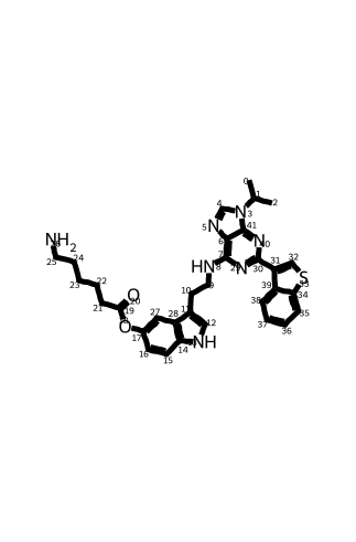 CC(C)n1cnc2c(NCCc3c[nH]c4ccc(OC(=O)CCCCCN)cc34)nc(-c3csc4ccccc34)nc21